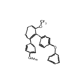 COc1ccc(C2=C(c3ccc(Oc4ccccc4)cc3)C(OC(F)(F)F)=CC[CH]2)cc1